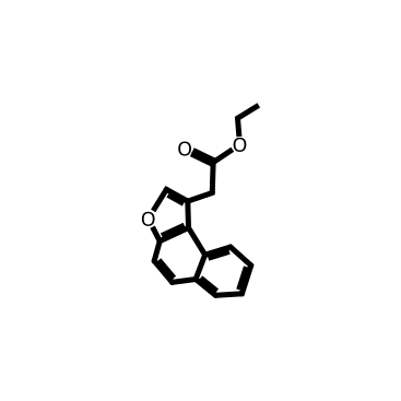 CCOC(=O)Cc1coc2ccc3ccccc3c12